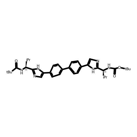 CC(C)[C@H](NC(=O)OC(C)(C)C)c1ncc(-c2ccc(-c3ccc(-c4cnc([C@@H](NC(=O)C(C)(C)C)C(C)C)[nH]4)cc3)cc2)[nH]1